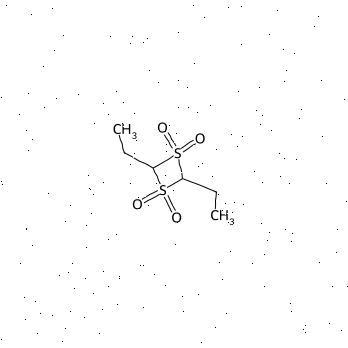 CCC1S(=O)(=O)C(CC)S1(=O)=O